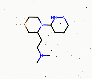 CN(C)CCC1CSCCN1C1CCC[N]N1